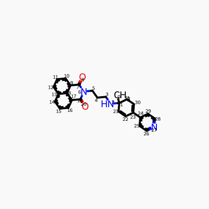 CC1(NCCCN2C(=O)c3cccc4cccc(c34)C2=O)C=CC(c2ccncc2)=CC1